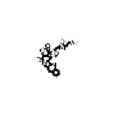 CC[C@@]1(OC(=O)CNC(=O)CCC(C)=O)C(=O)OCc2c1cc1n(c2=O)Cc2cc3ccccc3nc2-1